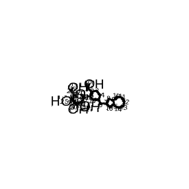 OCc1ccc(Cc2cc3cccccc-3c2)cc1[C@@H]1O[C@H](CO)[C@@H](O)[C@H](O)[C@H]1O